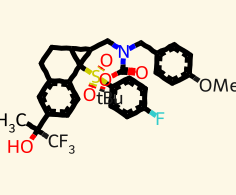 COc1ccc(CN(CC2C3CCc4cc(C(C)(O)C(F)(F)F)ccc4C32S(=O)(=O)c2ccc(F)cc2)C(=O)OC(C)(C)C)cc1